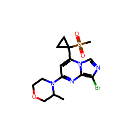 CC1COCCN1c1cc(C2(S(C)(=O)=O)CC2)n2cnc(Br)c2n1